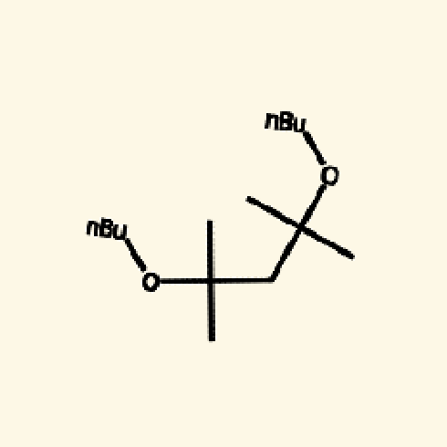 CCCCOC(C)(C)CC(C)(C)OCCCC